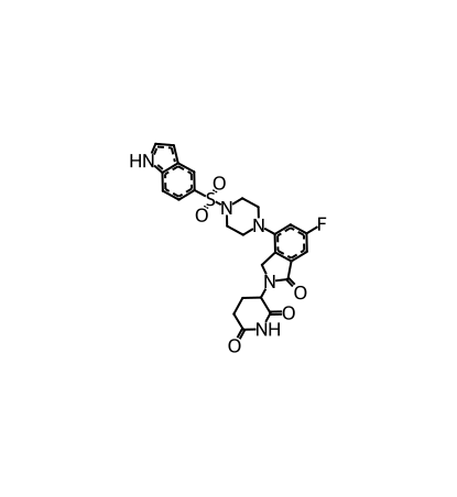 O=C1CCC(N2Cc3c(cc(F)cc3N3CCN(S(=O)(=O)c4ccc5[nH]ccc5c4)CC3)C2=O)C(=O)N1